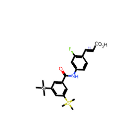 C[Si](C)(C)c1cc(C(=O)Nc2ccc(/C=C/C(=O)O)c(F)c2)cc(S(C)(C)C)c1